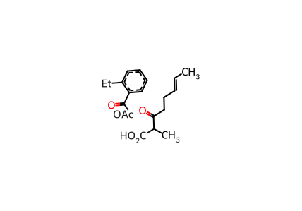 CC=CCCC(=O)C(C)C(=O)O.CCc1ccccc1C(=O)OC(C)=O